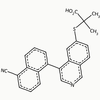 CC(C)(Sc1ccc2cncc(-c3cccc4c(C#N)cccc34)c2c1)C(=O)O